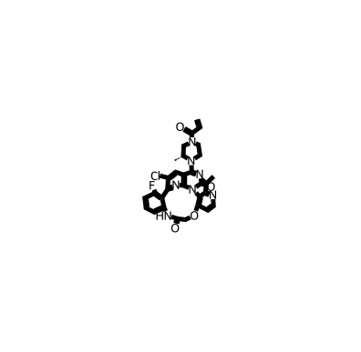 C=CC(=O)N1CCN(c2nc(=O)n3c4nc(c(Cl)cc24)-c2c(F)cccc2NC(=O)COc2ccnc(C(C)C)c2-3)[C@H](C)C1